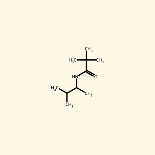 CC(C)C(C)NC(=O)C(C)(C)C